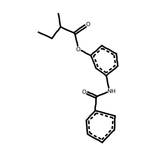 CCC(C)C(=O)Oc1cccc(NC(=O)c2ccccc2)c1